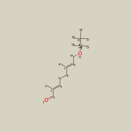 C/C(C=O)=C\CC/C(C)=C/CO[Si](C)(C)C(C)(C)C